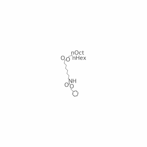 CCCCCCCCC(CCCCCC)COC(=O)CCCCCCCNC(=O)OCc1ccccc1